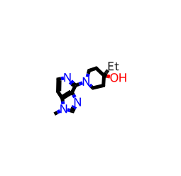 CCC1(O)CCN(c2nccc3c2ncn3C)CC1